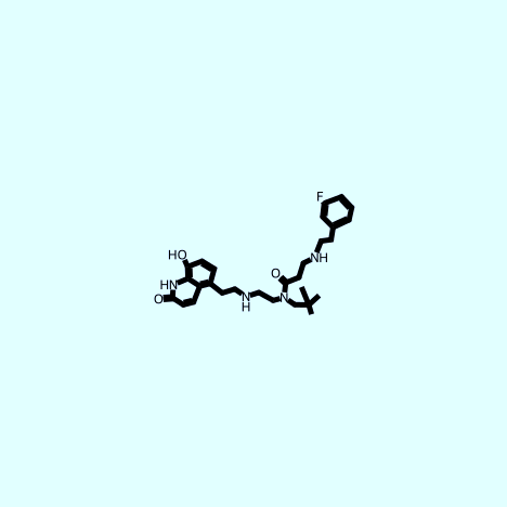 CC(C)(C)CN(CCNCCc1ccc(O)c2[nH]c(=O)ccc12)C(=O)CCNCCc1cccc(F)c1